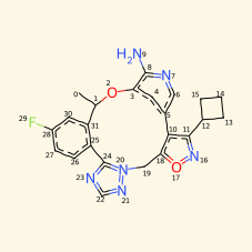 CC1Oc2cc(cnc2N)-c2c(C3CCC3)noc2Cn2ncnc2-c2ccc(F)cc21